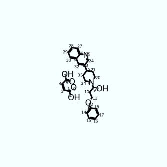 O=C(O)/C=C\C(=O)O.O[C@@H](CCOc1ccccc1)N1CCC(c2cnc3ccccc3c2)CC1